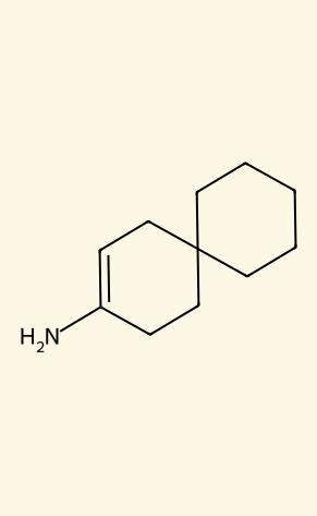 NC1=CCC2(CCCCC2)CC1